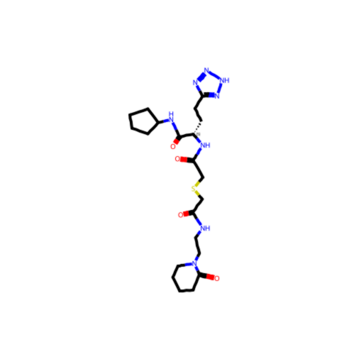 O=C(CSCC(=O)N[C@@H](CCc1nn[nH]n1)C(=O)NC1CCCC1)NCCN1CCCCC1=O